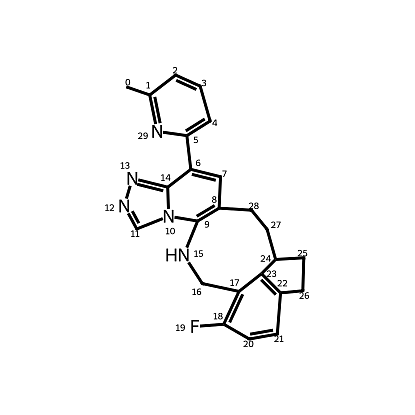 Cc1cccc(-c2cc3c(n4cnnc24)NCc2c(F)ccc4c2C(CC4)CC3)n1